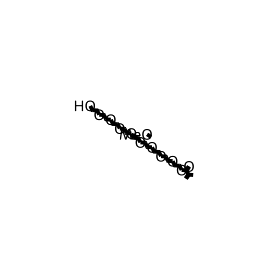 C=C(C)C(=O)OCCOCCOCCOCCOCCOCCOCCOCCOCCO.COC